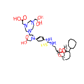 O=C(O)CN1CCN(CCN(CC(=O)O)c2ccc(NC(S)NCCC[Si]34OC5CCCCCC(C6CCCCCCC6)[C@@H](O3)C(C5)O4)cc2)CCN(CC(O)O)CC1